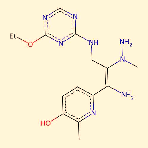 CCOc1ncnc(NC/C(=C(/N)c2ccc(O)c(C)n2)N(C)N)n1